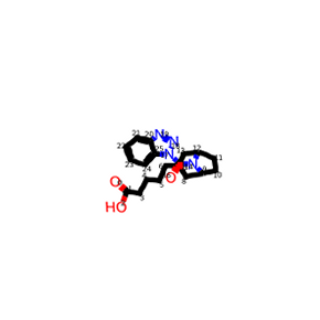 O=C(O)CCCCC1CC2CCC(C1)N2C(=O)n1nnc2ccccc21